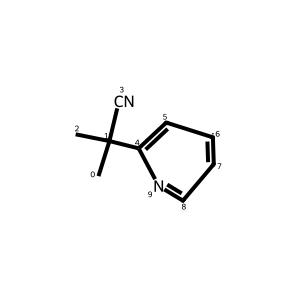 CC(C)(C#N)c1c[c]ccn1